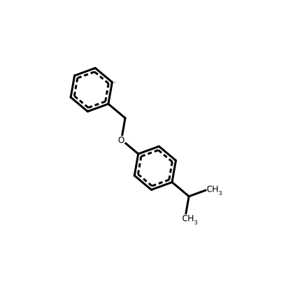 CC(C)c1ccc(OCc2[c]cccc2)cc1